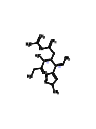 C=C(C)NC(=C)SC(/C(=C\C)c1cnn(C)c1)=C(\C)C(=C)CC